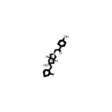 O=C(CN1C[C@@H]2CC(O)(Cc3ccccc3F)C[C@@H]2C1)c1ccc(O)cc1